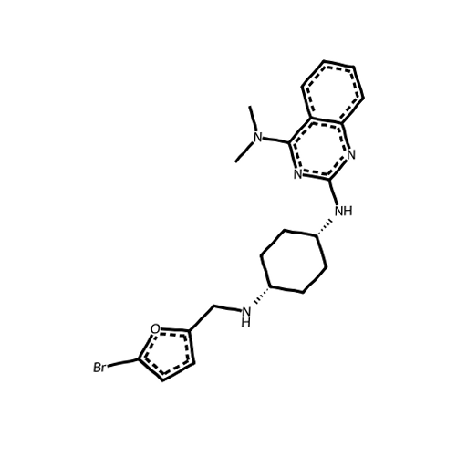 CN(C)c1nc(N[C@H]2CC[C@@H](NCc3ccc(Br)o3)CC2)nc2ccccc12